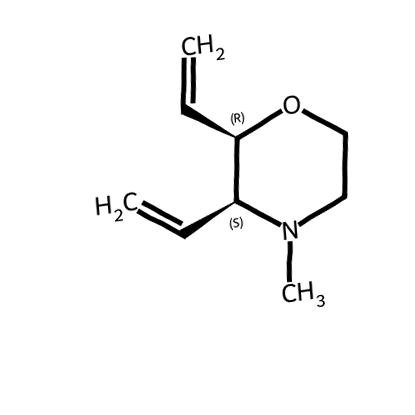 C=C[C@H]1OCCN(C)[C@H]1C=C